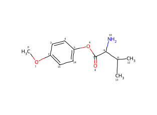 COc1ccc(OC(=O)C(N)C(C)C)cc1